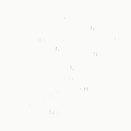 COC(=O)C1(c2nc3nc(Cl)nc(Cl)c3n2C)C=CC=CC1S(N)(=O)=O